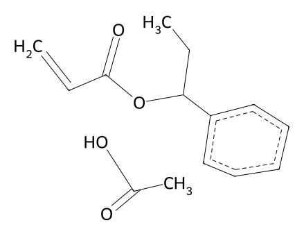 C=CC(=O)OC(CC)c1ccccc1.CC(=O)O